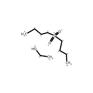 CCCCS(=O)(=O)CCCC.CCO